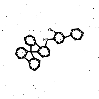 Clc1cc(-c2ccccc2)ccc1Nc1cccc2c1-c1ccccc1C21c2ccccc2-c2ccccc21